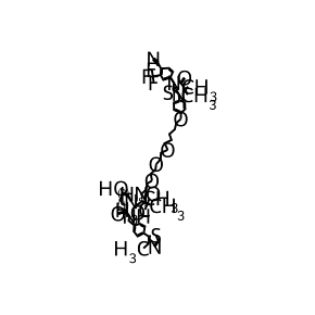 Cc1ncsc1-c1ccc(CNC(=O)[C@@H]2C[C@@H](O)CN2C(=O)[C@@H](NC(=O)COCCOCCOCCCCCOc2ccc(N3C(=S)N(c4ccc(C#N)c(C(F)(F)F)c4)C(=O)C3(C)C)cc2)C(C)(C)C)cc1